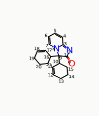 O=C1N=C2C=CC=CN2C1(C1C=CCCC1)C1C=CCCC1